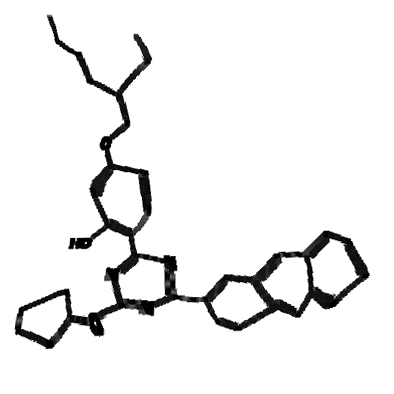 CCCCC(CC)COc1ccc(-c2nc(OC3CCCC3)nc(-c3ccc4cc5ccccc5cc4c3)n2)c(O)c1